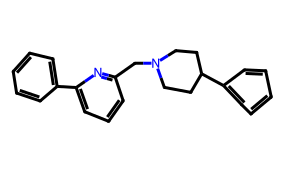 c1ccc(-c2cccc(CN3CCC(c4ccccc4)CC3)n2)cc1